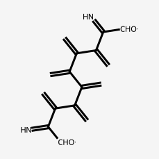 C=C(C(=C)C(=C)C(=C)C(=N)[C]=O)C(=C)C(=C)C(=N)[C]=O